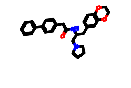 O=C(Cc1ccc(-c2ccccc2)cc1)NC(Cc1ccc2c(c1)OCCO2)CN1CCCC1